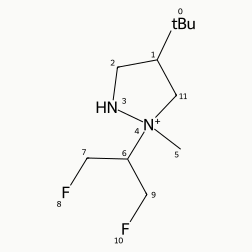 CC(C)(C)C1CN[N+](C)(C(CF)CF)C1